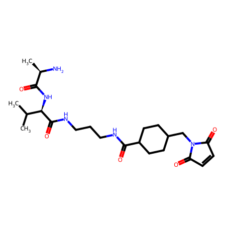 CC(C)[C@@H](NC(=O)[C@@H](C)N)C(=O)NCCCNC(=O)C1CCC(CN2C(=O)C=CC2=O)CC1